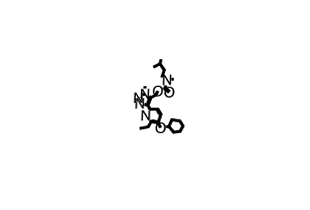 CCc1nc(-c2nnn(C)c2COC(=O)N(C)CCC(C)C)ccc1OC1CCCCC1